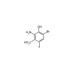 Nc1c(O)c(Br)cc(F)c1C(=O)O